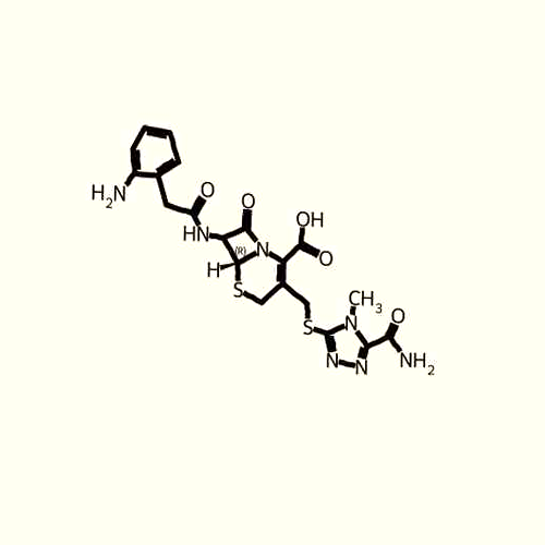 Cn1c(SCC2=C(C(=O)O)N3C(=O)C(NC(=O)Cc4ccccc4N)[C@H]3SC2)nnc1C(N)=O